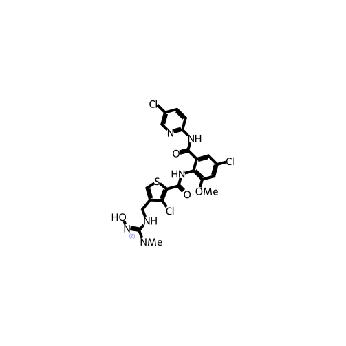 CN/C(=N/O)NCc1csc(C(=O)Nc2c(OC)cc(Cl)cc2C(=O)Nc2ccc(Cl)cn2)c1Cl